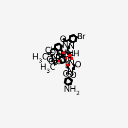 CCS(=O)(=O)N(c1nn(CC(F)(F)F)c2c(-n3c([C@H](Cc4cc(F)cc(F)c4)NC(=O)CN4CCN(S(=O)(=O)c5ccc(N)cc5)CC4=O)nc4cc(Br)ccc4c3=O)ccc(Cl)c12)S(=O)(=O)CC